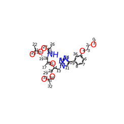 COCCOc1cccc(-c2cn(CC(OC(C)[C@H](COC(C)=O)NC(C)=O)[C@@H](C)OC(C)=O)nn2)c1